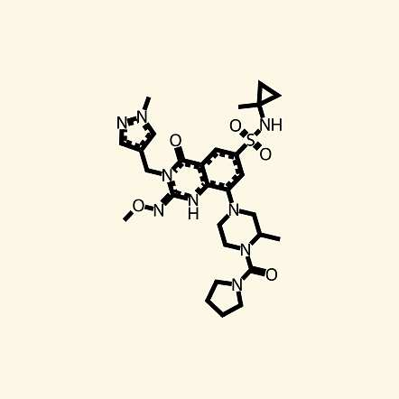 CON=c1[nH]c2c(N3CCN(C(=O)N4CCCC4)C(C)C3)cc(S(=O)(=O)NC3(C)CC3)cc2c(=O)n1Cc1cnn(C)c1